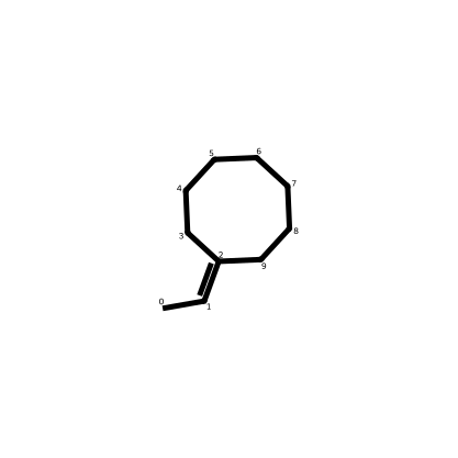 CC=C1CCCCCCC1